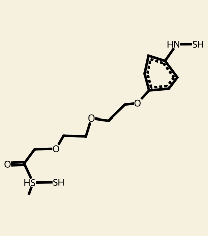 C[SH](S)C(=O)COCCOCCOc1ccc(NS)cc1